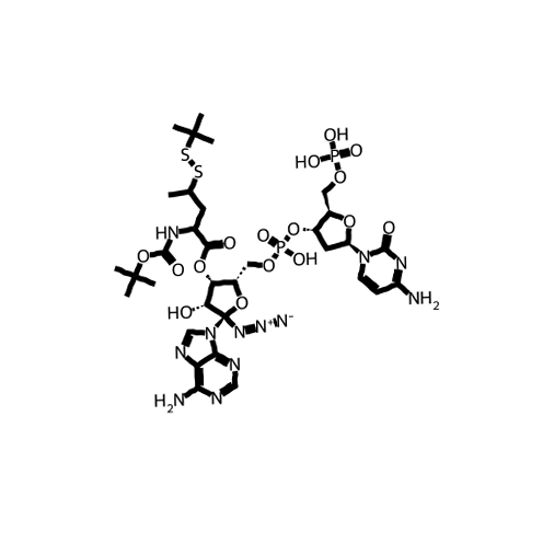 CC(CC(NC(=O)OC(C)(C)C)C(=O)O[C@@H]1[C@H](COP(=O)(O)O[C@H]2C[C@H](n3ccc(N)nc3=O)O[C@@H]2COP(=O)(O)O)O[C@@](N=[N+]=[N-])(n2cnc3c(N)ncnc32)[C@@H]1O)SSC(C)(C)C